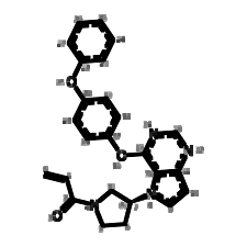 C=CC(=O)N1CC[C@H](n2ccc3ncnc(Oc4ccc(Oc5ccccc5)cc4)c32)C1